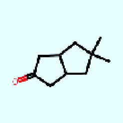 CC1(C)CC2CC(=O)CC2C1